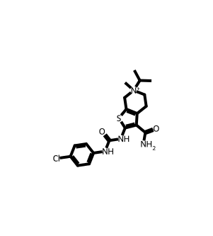 CC(C)[N+]1(C)CCc2c(sc(NC(=O)Nc3ccc(Cl)cc3)c2C(N)=O)C1